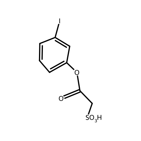 O=C(CS(=O)(=O)O)Oc1cccc(I)c1